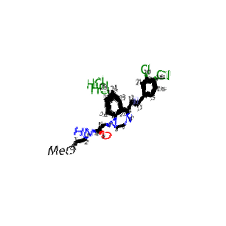 COCCNC(=O)CN1CCN=C(/C=C/c2ccc(Cl)c(Cl)c2)c2ccccc21.Cl.Cl